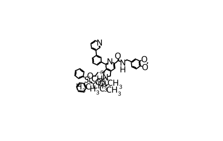 CC(C)(C)[S+]([O-])N1Cc2cc(C(=O)NCc3ccc4c(c3)OCO4)nc(-c3cccc(-c4cccnc4)c3)c2[C@H]1CCO[Si](c1ccccc1)(c1ccccc1)C(C)(C)C